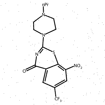 CCCN1CCN(c2nc(=O)c3cc(C(F)(F)F)cc([N+](=O)[O-])c3s2)CC1